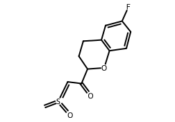 C=S(=O)=CC(=O)C1CCc2cc(F)ccc2O1